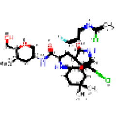 C=C(Cl)/N=C\C=C(/F)[C@H]1[C@H](C(=O)N[C@H]2CO[C@H](CO)[C@H](OC)C2)NC2(CCC(C)(C)CC2)[C@@]12C(=O)Nc1cc(Cl)ccc12